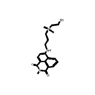 CN1C(=O)c2cccc3c(NCCC[N+](C)(C)CCS)ccc(c23)C1=O